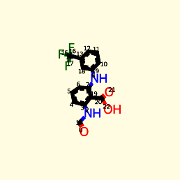 O=CNc1cccc(Nc2cccc(C(F)(F)F)c2)c1C(=O)O